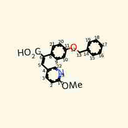 COc1ccc(C=C(C(=O)O)c2ccc(OCc3ccccc3)cc2)cn1